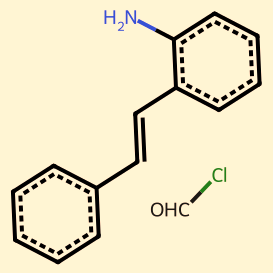 Nc1ccccc1C=Cc1ccccc1.O=CCl